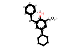 O=C(O)c1cc(C2CCCCC2)cc(Cc2ccccc2)c1O